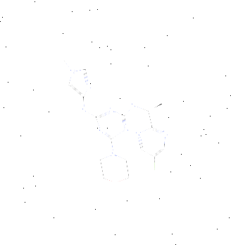 C[C@H](Nc1nc(Nc2cn(C)cn2)nc(N2CCOCC2)n1)c1ncc(F)cn1